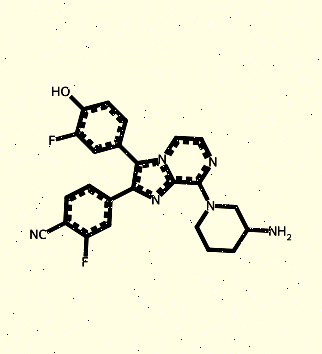 N#Cc1ccc(-c2nc3c(N4CCCC(N)C4)nccn3c2-c2ccc(O)c(F)c2)cc1F